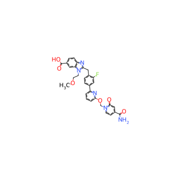 COCCn1c(Cc2ccc(-c3cccc(OCn4ccc(C(N)=O)cc4=O)n3)cc2F)nc2ccc(C(=O)O)cc21